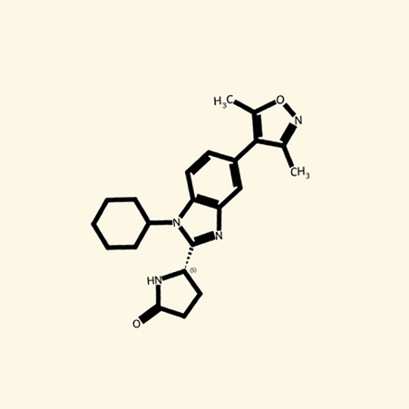 Cc1noc(C)c1-c1ccc2c(c1)nc([C@@H]1CCC(=O)N1)n2C1CCCCC1